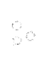 N#Cc1ccc(-c2c(F)ccn2-c2ccccc2)cc1